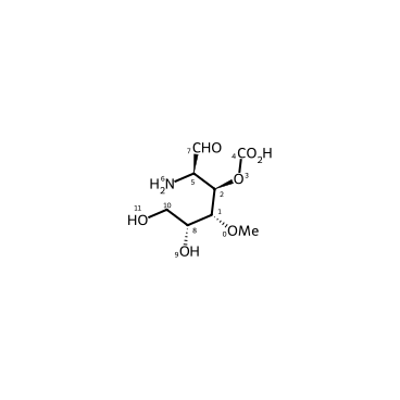 CO[C@@H]([C@H](OC(=O)O)[C@@H](N)C=O)[C@H](O)CO